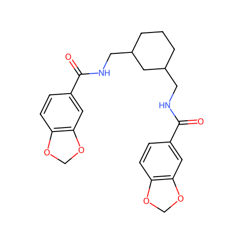 O=C(NCC1CCCC(CNC(=O)c2ccc3c(c2)OCO3)C1)c1ccc2c(c1)OCO2